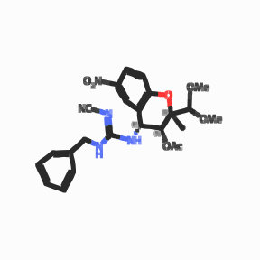 COC(OC)[C@@]1(C)Oc2ccc([N+](=O)[O-])cc2[C@@H](NC(=NC#N)NCc2ccccc2)[C@@H]1OC(C)=O